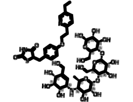 CCc1ccc(CCOc2ccc(CC3SC(=O)NC3=O)cc2)nc1.C[C@H]1O[C@H](O[C@H]2[C@H](O)[C@@H](O)[C@@H](O[C@H]3[C@H](O)[C@@H](O)[C@H](O)O[C@@H]3CO)O[C@@H]2CO)[C@H](O)[C@@H](O)[C@@H]1N[C@H]1C=C(CO)[C@@H](O)[C@H](O)[C@H]1O